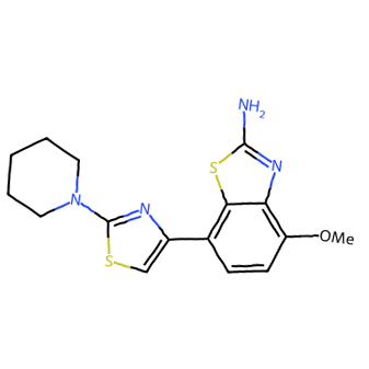 COc1ccc(-c2csc(N3CCCCC3)n2)c2sc(N)nc12